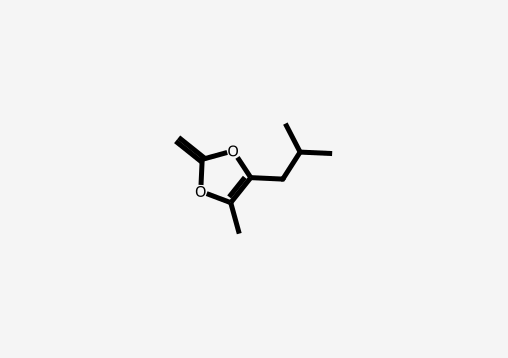 C=C1OC(C)=C(CC(C)C)O1